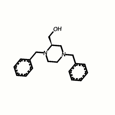 OC[C@H]1CN(Cc2ccccc2)CCN1Cc1ccccc1